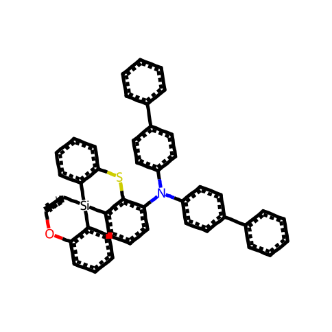 c1ccc(-c2ccc(N(c3ccc(-c4ccccc4)cc3)c3cccc4c3Sc3ccccc3[Si]43c4ccccc4Oc4ccccc43)cc2)cc1